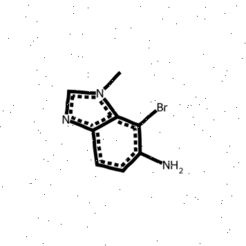 Cn1cnc2ccc(N)c(Br)c21